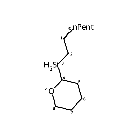 CCCCCCC[SiH2]C1CCCCO1